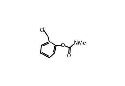 CNC(=O)Oc1ccccc1CCl